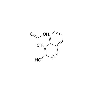 CC(=O)O.Oc1ccc2ccccc2c1